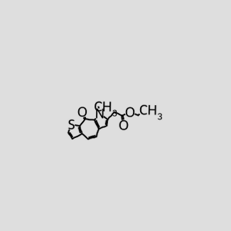 CCOC(=O)Cc1cc2ccc3ccsc3c(=O)c2n1C